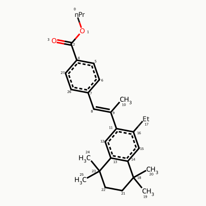 CCCOC(=O)c1ccc(/C=C(\C)c2cc3c(cc2CC)C(C)(C)CCC3(C)C)cc1